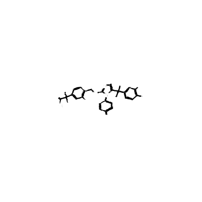 CC(C)(C(=O)O)c1ccc(CSc2ncc(C(C)(C)c3ccc(Cl)c(Cl)c3)n2-c2ccc(F)cc2)c(F)c1